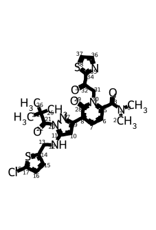 CN(C)C(=O)c1ccc(-c2cc(NCc3ccc(Cl)s3)n(C(=O)C(C)(C)C)n2)c(=O)n1CC(=O)c1nccs1